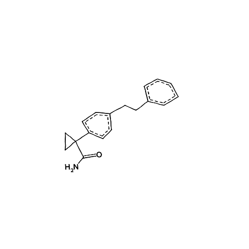 NC(=O)C1(c2ccc(CCc3ccccc3)cc2)CC1